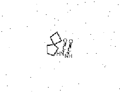 C1CCC2(C1)CCC2.N=C=O.N=C=O